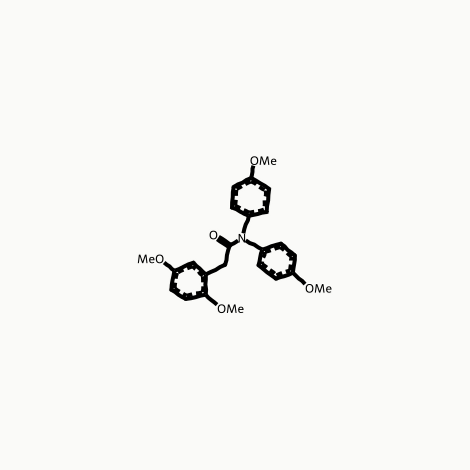 COc1ccc(N(C(=O)Cc2cc(OC)ccc2OC)c2ccc(OC)cc2)cc1